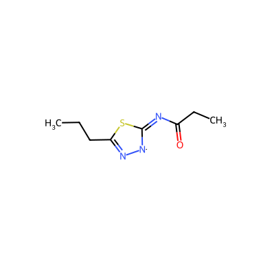 CCCC1=N[N]C(=NC(=O)CC)S1